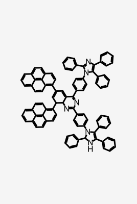 C1=C(c2ccc3ccc4cccc5ccc2c3c45)C=C2C(c3ccc(-n4c(-c5ccccc5)nc(-c5ccccc5)c4-c4ccccc4)cc3)=NC(c3ccc(N4C(c5ccccc5)=C(c5ccccc5)NC4c4ccccc4)cc3)=NC2C1c1ccc2ccc3cccc4ccc1c2c34